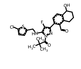 CC(C)(C)C(=O)n1nc(-c2ccc3c(c2C=O)CCCC3O)c(F)c1NCc1ccc(Cl)s1